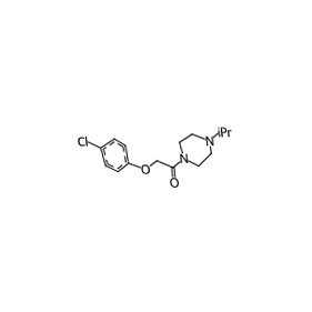 CC(C)N1CCN(C(=O)COc2ccc(Cl)cc2)CC1